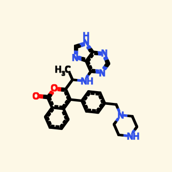 CC(Nc1ncnc2[nH]cnc12)c1oc(=O)c2ccccc2c1-c1ccc(CN2CCNCC2)cc1